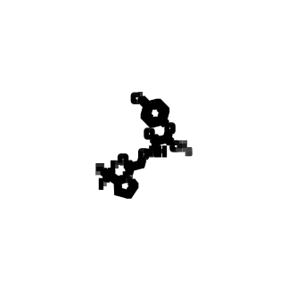 CC(Oc1ccc(Cl)cc1)C(=O)NOCC(=O)N1CCCC1C(F)(F)F